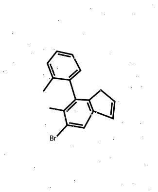 Cc1ccccc1-c1c(C)c(Br)cc2c1CC=C2